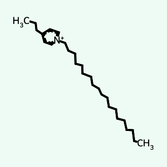 CCCCCCCCCCCCCCCCCCC[n+]1ccc(CCC)cc1